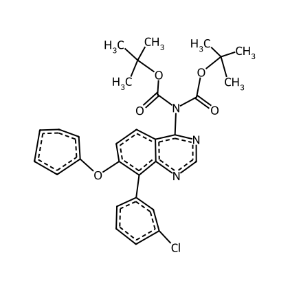 CC(C)(C)OC(=O)N(C(=O)OC(C)(C)C)c1ncnc2c(-c3cccc(Cl)c3)c(Oc3ccccc3)ccc12